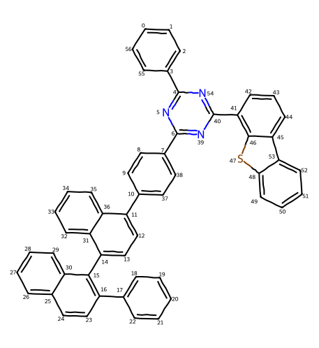 c1ccc(-c2nc(-c3ccc(-c4ccc(-c5c(-c6ccccc6)ccc6ccccc56)c5ccccc45)cc3)nc(-c3cccc4c3sc3ccccc34)n2)cc1